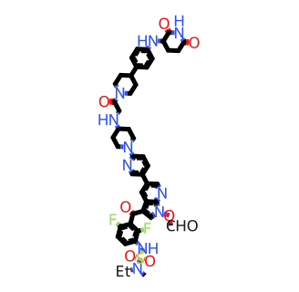 CCN(C)S(=O)(=O)Nc1ccc(F)c(C(=O)c2cn(OC=O)c3ncc(-c4ccc(N5CCC(NCC(=O)N6CCC(c7ccc(NC8CCC(=O)NC8=O)cc7)CC6)CC5)nc4)cc23)c1F